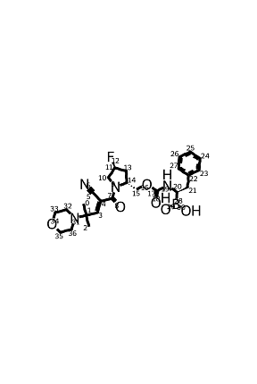 CC(C)(/C=C(\C#N)C(=O)N1C[C@@H](F)C[C@@H]1COC(=O)N[C@@H](Cc1ccccc1)B(O)O)N1CCOCC1